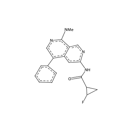 CNc1ncc(-c2ccccc2)c2cc(NC(=O)C3CC3F)ncc12